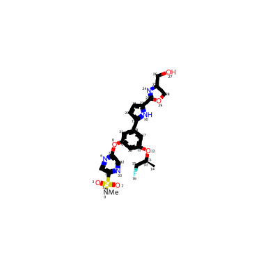 CNS(=O)(=O)c1cnc(Oc2cc(O[C@@H](C)CF)cc(-c3ccc(C4=NC(CO)CO4)[nH]3)c2)cn1